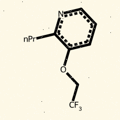 CCCc1ncccc1OCC(F)(F)F